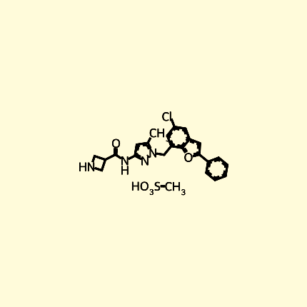 CS(=O)(=O)O.Cc1cc(NC(=O)C2CNC2)nn1Cc1cc(Cl)cc2cc(-c3ccccc3)oc12